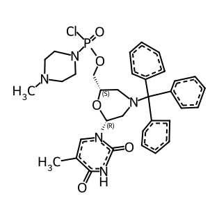 Cc1cn([C@H]2CN(C(c3ccccc3)(c3ccccc3)c3ccccc3)C[C@@H](COP(=O)(Cl)N3CCN(C)CC3)O2)c(=O)[nH]c1=O